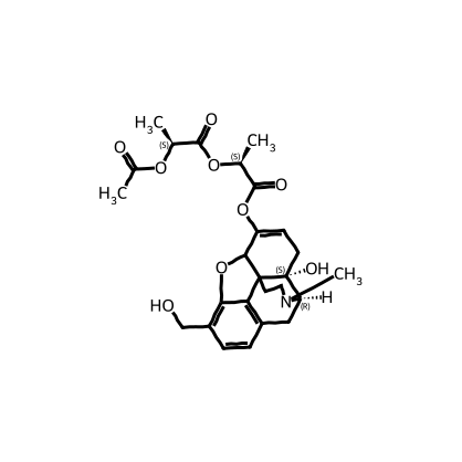 CC(=O)O[C@@H](C)C(=O)O[C@@H](C)C(=O)OC1=CC[C@@]2(O)[C@H]3Cc4ccc(CO)c5c4C2(CCN3C)C1O5